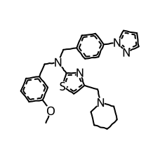 COc1cccc(CN(Cc2ccc(-n3cccn3)cc2)c2nc(CN3CCCCC3)cs2)c1